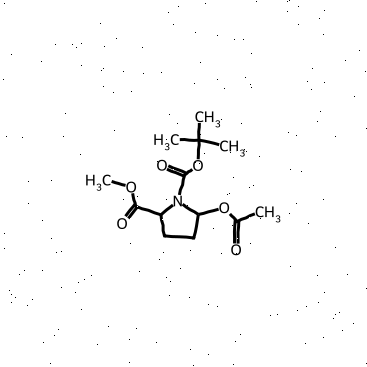 COC(=O)C1CCC(OC(C)=O)N1C(=O)OC(C)(C)C